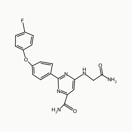 NC(=O)CNc1cc(C(N)=O)nc(-c2ccc(Oc3ccc(F)cc3)cc2)n1